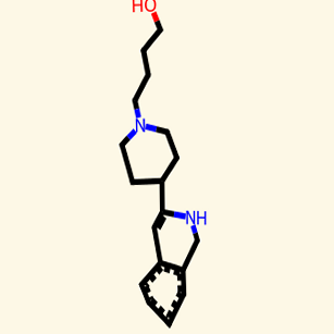 OCCCCN1CCC(C2=Cc3ccccc3CN2)CC1